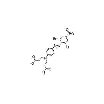 COC(=O)CCN(CCC(=O)OC)c1ccc(/N=N/c2c(Cl)cc([N+](=O)[O-])cc2Br)cc1